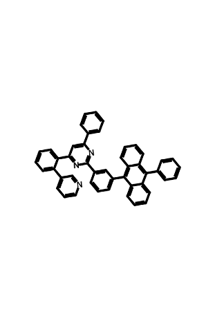 c1ccc(-c2cc(-c3ccccc3-c3cccnc3)nc(-c3cccc(-c4c5ccccc5c(-c5ccccc5)c5ccccc45)c3)n2)cc1